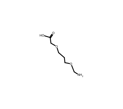 NCOCCCOCC(=O)O